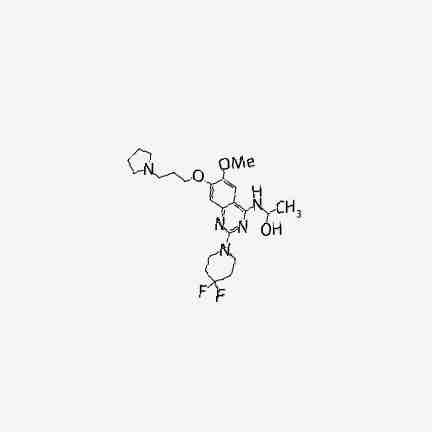 COc1cc2c(NC(C)O)nc(N3CCC(F)(F)CC3)nc2cc1OCCCN1CCCC1